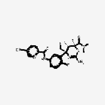 C[C@@H]1[C@@](C)(C(=O)N(C)C)SC(N)=N[C@]1(CF)c1cc(NC(=O)c2ccc(Cl)cn2)ccc1F